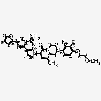 CCCC(C(=O)N1CCN(c2ccc(OCCOC)c(F)c2F)CC1)n1ncc2c1nc(N)n1nc(-c3ccco3)nc21